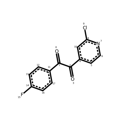 O=C(C(=O)c1ccnc(Cl)c1)c1ccc(F)cc1